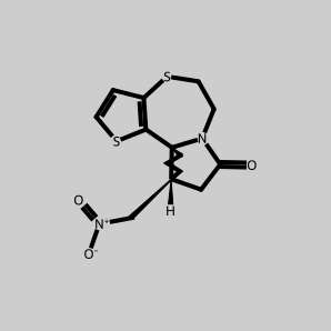 O=C1C[C@H]2[C@H](C[N+](=O)[O-])CC[C@]23c2sccc2SCCN13